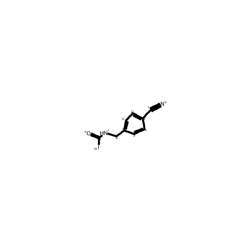 N#Cc1ccc(CNC(=O)I)cc1